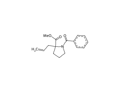 C=CCC1(C(=O)OC)CCCN1C(=O)c1ccccc1